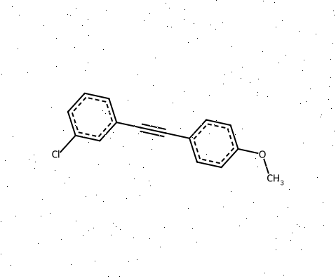 COc1ccc(C#Cc2cccc(Cl)c2)cc1